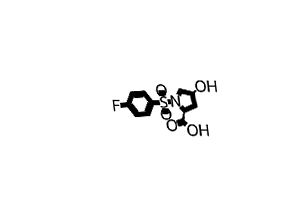 O=C(O)[C@@H]1C[C@@H](O)CN1S(=O)(=O)c1ccc(F)cc1